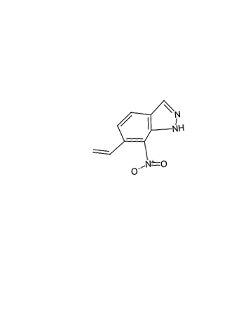 C=Cc1ccc2cn[nH]c2c1[N+](=O)[O-]